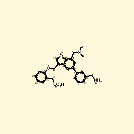 CN(C)Cc1cc(-c2cccc(CN)c2)cc2c(COc3ccccc3CC(=O)O)coc12